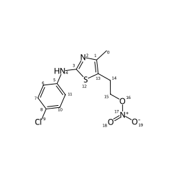 Cc1nc(Nc2ccc(Cl)cc2)sc1CCO[N+](=O)[O-]